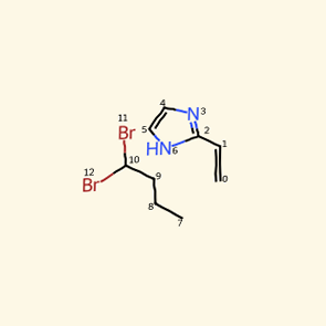 C=Cc1ncc[nH]1.CCCC(Br)Br